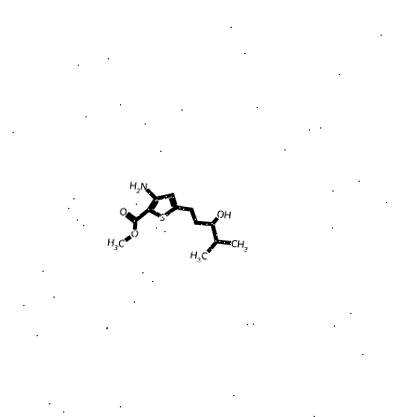 COC(=O)c1sc(CCC(O)C(C)C)cc1N